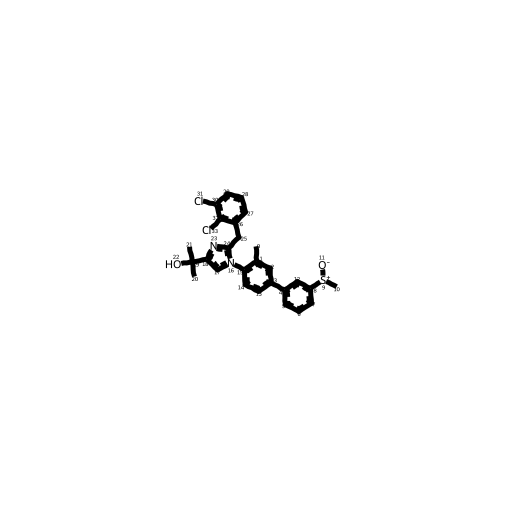 Cc1cc(-c2cccc([S+](C)[O-])c2)ccc1-n1cc(C(C)(C)O)nc1Cc1cccc(Cl)c1Cl